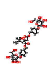 CC(C)C[C@@](O)(CC(=O)OCc1ccc(O[C@@H]2O[C@H](CO)[C@@H](O)[C@H](O)[C@H]2O)cc1)C(=O)OCc1ccc(O[C@@H]2O[C@H](CO)[C@@H](O)[C@H](O)[C@H]2O)cc1